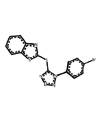 Brc1ccc(-n2nnnc2Sc2nc3ccccc3s2)cc1